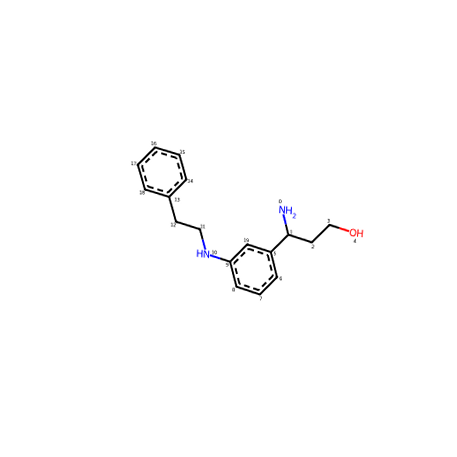 NC(CCO)c1cccc(NCCc2ccccc2)c1